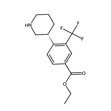 CCOC(=O)c1ccc([C@H]2CCCNC2)c(C(F)(F)F)c1